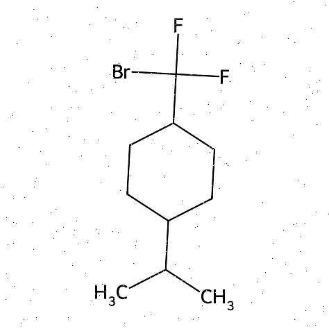 CC(C)C1CCC(C(F)(F)Br)CC1